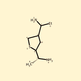 CCC(N)C1CSC([C@@H](C)N)C1